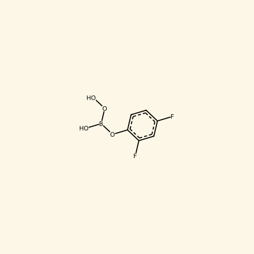 OOB(O)Oc1ccc(F)cc1F